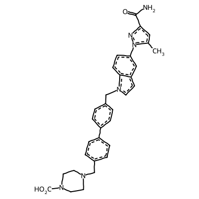 Cc1cc(C(N)=O)nn1-c1ccc2c(ccn2Cc2ccc(-c3ccc(CN4CCN(C(=O)O)CC4)cc3)cc2)c1